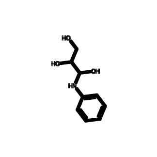 OCC(O)C(O)Nc1ccccc1